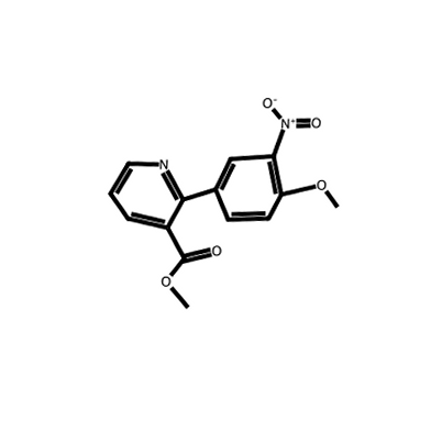 COC(=O)c1cccnc1-c1ccc(OC)c([N+](=O)[O-])c1